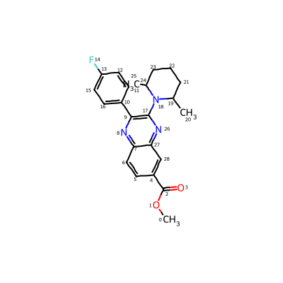 COC(=O)c1ccc2nc(-c3ccc(F)cc3)c(N3C(C)CCCC3C)nc2c1